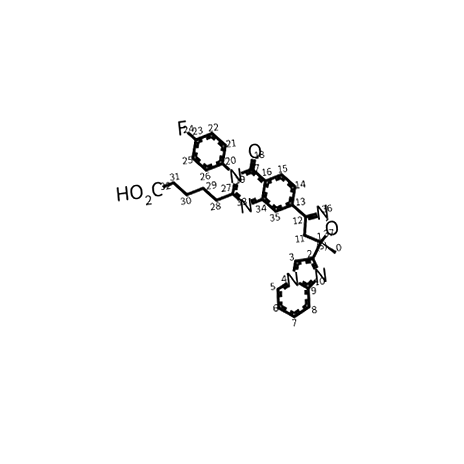 C[C@@]1(c2cn3ccccc3n2)CC(c2ccc3c(=O)n(-c4ccc(F)cc4)c(CCCCC(=O)O)nc3c2)=NO1